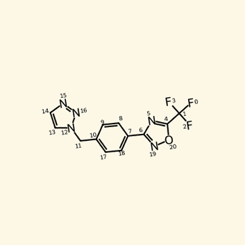 FC(F)(F)c1nc(-c2ccc(Cn3ccnn3)cc2)no1